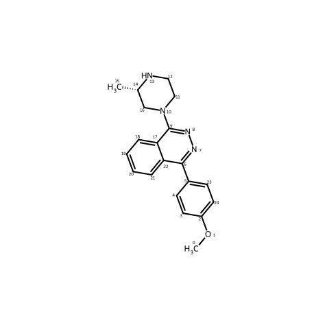 COc1ccc(-c2nnc(N3CCN[C@@H](C)C3)c3ccccc23)cc1